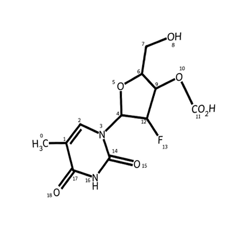 Cc1cn(C2OC(CO)C(OC(=O)O)C2F)c(=O)[nH]c1=O